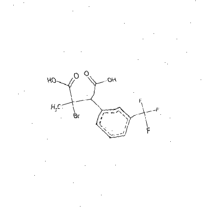 CC(Br)(C(=O)O)C(C(=O)O)c1cccc(C(F)(F)F)c1